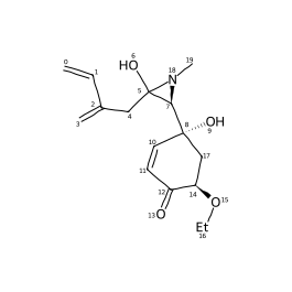 C=CC(=C)CC1(O)[C@H]([C@]2(O)C=CC(=O)[C@H](OCC)C2)N1C